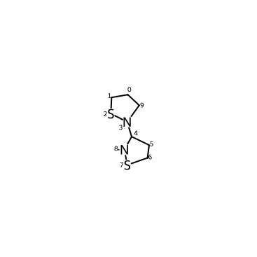 C1CSN(C2CCS[N]2)C1